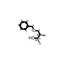 C[C@H](COCc1ccccc1)[C@@H](C)O